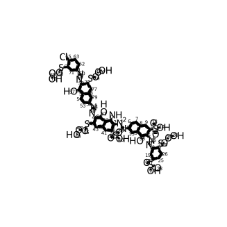 Nc1c(N=Nc2ccc3cc(S(=O)(=O)O)c(N=Nc4cc(S(=O)(=O)O)ccc4SOOO)c(O)c3c2)c(S(=O)(=O)O)cc2cc(SOOO)c(N=Nc3ccc4c(O)c(N=Nc5ccc(Cl)c(SOOO)c5)c(SOOO)cc4c3)c(O)c12